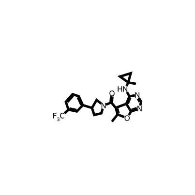 Cc1oc2ncnc(NC3(C)CC3)c2c1C(=O)N1CCC(c2cccc(C(F)(F)F)c2)C1